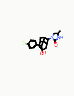 CC1CN(C2C3CC4CC2C(c2ccc(F)cc2)C(O)(C4)C3)C(=O)N1